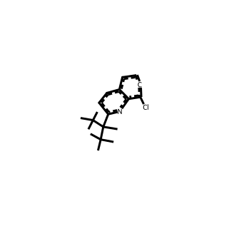 CC(C)(C)C(C)(c1ccc2cccc(Cl)c2n1)C(C)(C)C